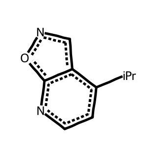 CC(C)c1ccnc2oncc12